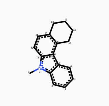 Cn1c2ccccc2c2c3c(ccc21)CCCC3